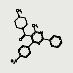 Cc1nc(-c2ccccc2)nc(-c2ccc([N+](=O)[O-])cc2)c1C(=O)N1CCN(C)CC1